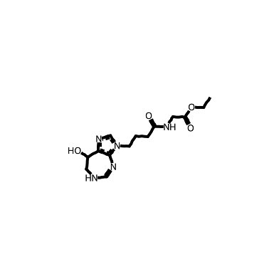 CCOC(=O)CNC(=O)CCCn1cnc2c1N=CNCC2O